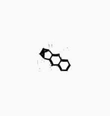 CC(=O)Oc1c2c(c(OC(C)=O)c3ccccc13)[C@H]1C=C[C@@H]2C1